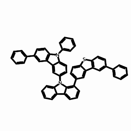 c1ccc(-c2ccc3sc4ccc(-c5cccc6c7ccccc7n(-c7ccc8c(c7)c7cc(-c9ccccc9)ccc7n8-c7ccccc7)c56)cc4c3c2)cc1